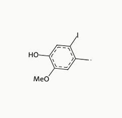 [CH2]c1cc(OC)c(O)cc1I